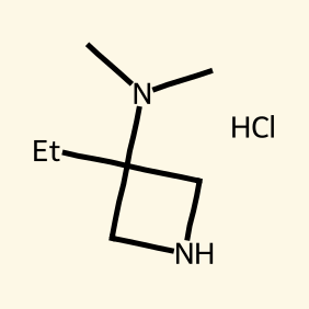 CCC1(N(C)C)CNC1.Cl